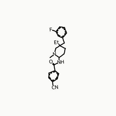 CCC1(Cc2cccc(F)c2)CCC(NC(=O)c2ccc(C#N)cc2)N(C)C1